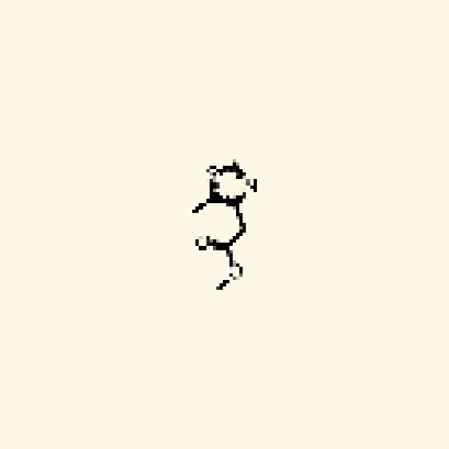 COC(=O)Cc1n[c]sc1C